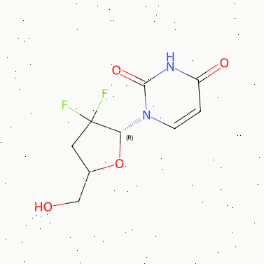 O=c1ccn([C@@H]2OC(CO)CC2(F)F)c(=O)[nH]1